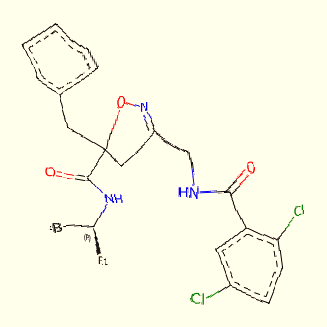 [B][C@H](CC)NC(=O)C1(Cc2ccccc2)CC(CNC(=O)c2cc(Cl)ccc2Cl)=NO1